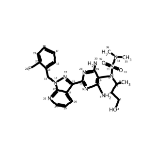 CC(CCO)N(c1c(N)nc(-c2nn(Cc3ccccc3F)c3ncccc23)nc1N)S(=O)(=O)N(C)C